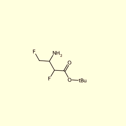 CC(C)(C)OC(=O)C(F)C(N)CF